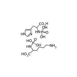 NCCCCC(NP(=O)(O)O)C(=O)O.O=C(O)C(Cc1c[nH]cn1)NP(=O)(O)O